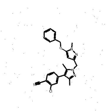 Cc1nn(Cc2cc(OCc3ccccc3)n(C)n2)c(C)c1-c1ccc(C#N)c(Cl)c1